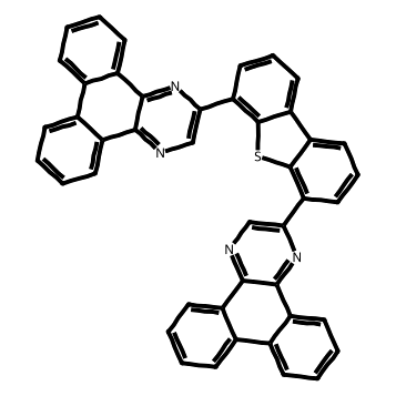 c1cc(-c2cnc3c4ccccc4c4ccccc4c3n2)c2sc3c(-c4cnc5c6ccccc6c6ccccc6c5n4)cccc3c2c1